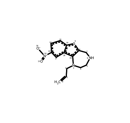 C=CCN1CCNCc2sc3ccc([N+](=O)[O-])cc3c21